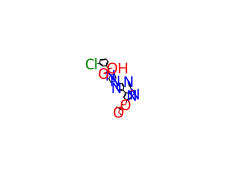 COC(C)(C)COc1cc(-c2ccc(N3CCN(C(=O)C(O)c4cccc(Cl)c4)CC3)nc2)c2c(C#N)cnn2c1